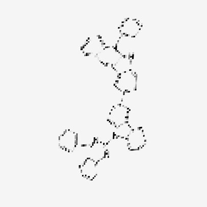 c1ccc(-c2nc(-n3c4ccccc4c4cc(-c5ccc6nc7n(-c8ccccc8)c8ccccc8cc-7c6c5)ccc43)nc3ccccc23)cc1